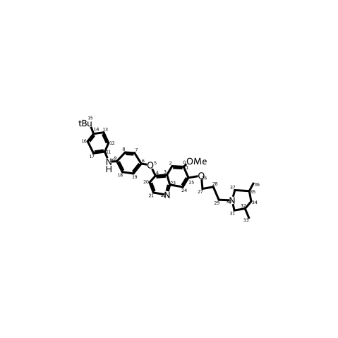 COc1cc2c(Oc3ccc(Nc4ccc(C(C)(C)C)cc4)cc3)ccnc2cc1OCCCN1CC(C)CC(C)C1